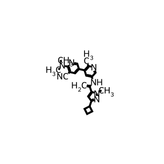 C=C(Nc1cnc(C)c(-c2cnc(N(C)C)c(C#N)c2)c1)c1cc(C2CCC2)nn1C